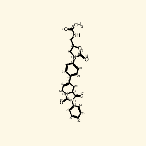 CC(=O)NCC1CN(c2ccc(C3=CCN4C(=O)N(c5ccccc5)C(=O)C4C3)cc2)C(=O)O1